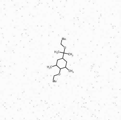 CCC(C)COC1C(C)CC(C(C)(C)OCC(C)CC)CC1C